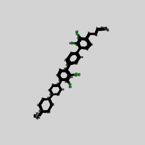 C=CCCc1ccc(-c2ccc(-c3ccc(C4=CCC(C5CCC(C)CC5)CC4)c(F)c3F)cc2)c(F)c1F